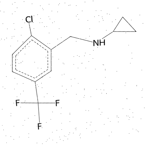 FC(F)(F)c1ccc(Cl)c(CNC2CC2)c1